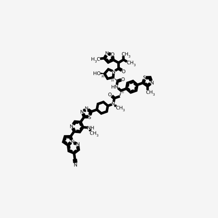 CNc1cc(-c2ccc3cc(C#N)cnn23)ncc1-c1nnc(C2CCC(N(C)C(=O)C[C@H](NC(=O)[C@@H]3C[C@@H](O)CN3C(=O)C(c3cc(C)no3)C(C)C)c3ccc(-c4scnc4C)cc3)CC2)s1